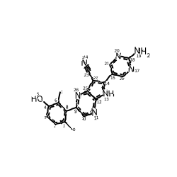 Cc1ccc(O)c(C)c1-c1cnc2[nH]c(-c3cnc(N)nc3)c(C#N)c2n1